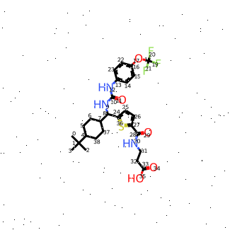 CC(C)(C)C1CCC(C(NC(=O)Nc2ccc(OC(F)(F)F)cc2)c2ccc(C(=O)NCCC(=O)O)s2)CC1